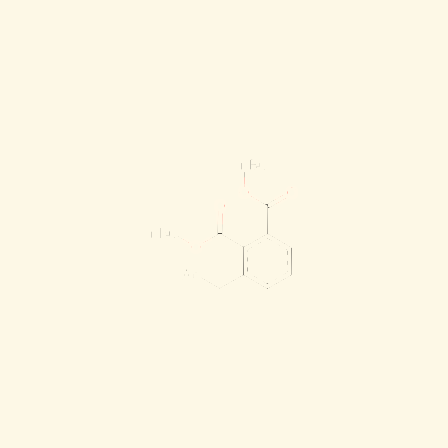 CCCCOC(=O)c1cccc(CC(C)=O)c1C(=O)OCCCC